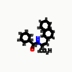 O=C(O)C(=Cc1ccc2ccccc2c1)NC(=O)c1ccccc1